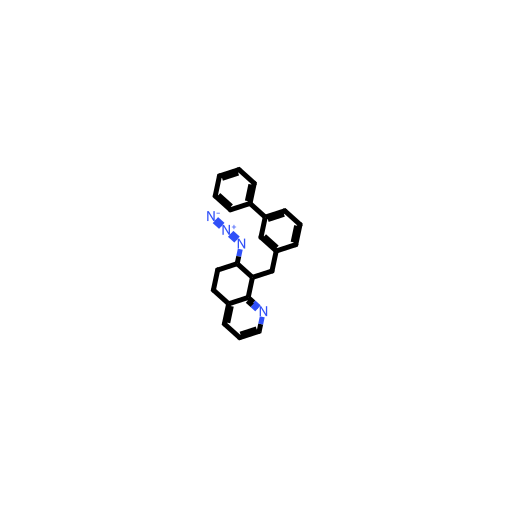 [N-]=[N+]=NC1CCc2cccnc2C1Cc1cccc(-c2ccccc2)c1